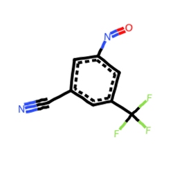 N#Cc1cc(N=O)cc(C(F)(F)F)c1